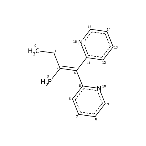 CCC(P)=C(c1ccccn1)c1ccccn1